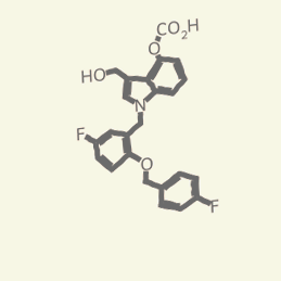 O=C(O)Oc1cccc2c1c(CO)cn2Cc1cc(F)ccc1OCc1ccc(F)cc1